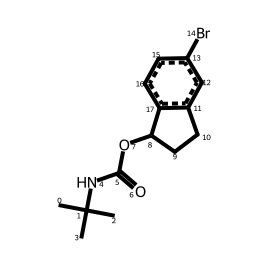 CC(C)(C)NC(=O)OC1CCc2cc(Br)ccc21